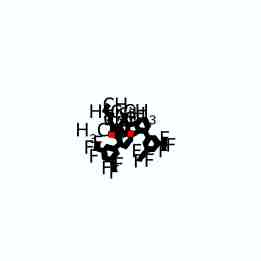 CCCCC1=Cc2c(-c3cc(C(F)(F)F)cc(C(F)(F)F)c3)cccc2[CH]1[Zr]([Cl])([Cl])([CH]1C(CCCC)=Cc2c(-c3cc(C(F)(F)F)cc(C(F)(F)F)c3)cccc21)[SiH](C)C